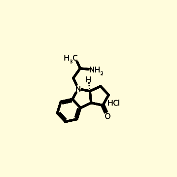 CC(N)CN1c2ccccc2C2C(=O)CC[C@@H]21.Cl